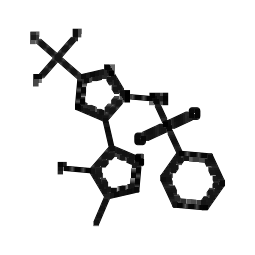 Cc1csc(-c2cc(C(F)(F)F)nn2NS(=O)(=O)c2ccccc2)c1F